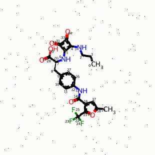 CCCNc1c(N[C@@H](Cc2ccc(NC(=O)c3cc(C)oc3C(F)(F)F)cc2)C(=O)O)c(=O)c1=O